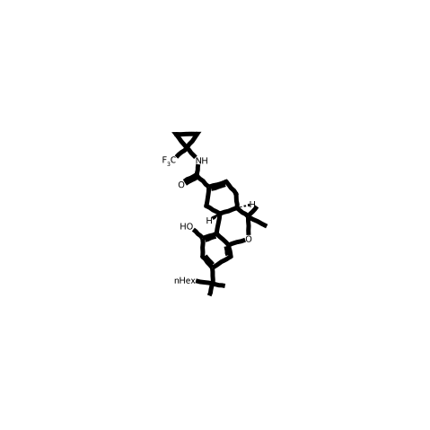 CCCCCCC(C)(C)c1cc(O)c2c(c1)OC(C)(C)[C@@H]1CC=C(C(=O)NC3(C(F)(F)F)CC3)C[C@@H]21